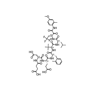 COc1ccc(NC(=O)C(=O)[C@H](CC(F)(F)F)NC(=O)[C@H](CC(C)C)NC(=O)[C@@H](NC(=O)[C@H](Cc2ccccc2C)NC(=O)[C@H](CCC(=O)O)NC(=O)[C@H](CC(=O)O)NC(=O)CCC(=O)O)C(C)(C)C)c(C)c1